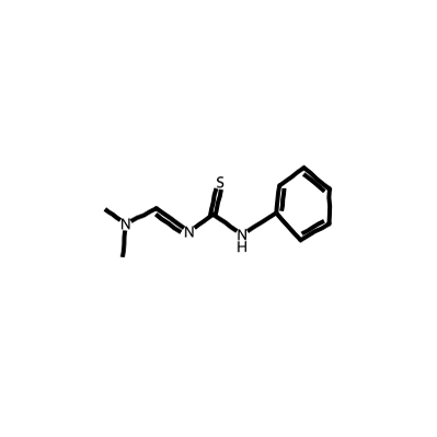 CN(C)C=NC(=S)Nc1ccccc1